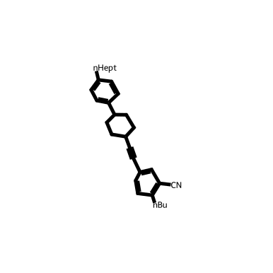 CCCCCCCc1ccc(C2CCC(C#Cc3ccc(CCCC)c(C#N)c3)CC2)cc1